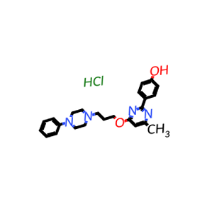 Cc1cc(OCCCN2CCN(c3ccccc3)CC2)nc(-c2ccc(O)cc2)n1.Cl